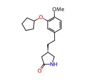 COc1ccc(CC[C@H]2CNC(=O)C2)cc1OC1CCCC1